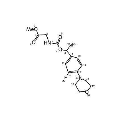 COC(=O)CNC(=O)OC(c1ccc(N2CCOCC2)c(F)c1)C(C)C